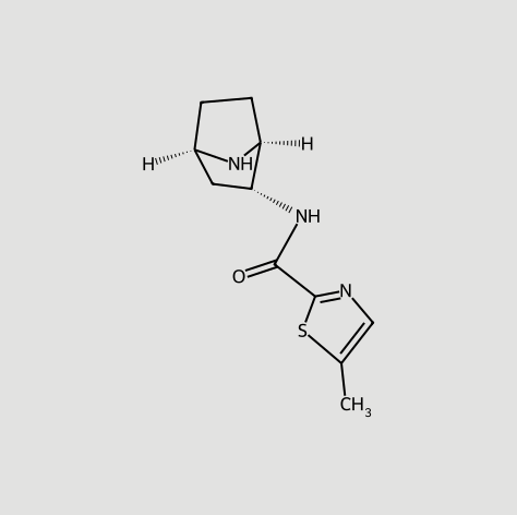 Cc1cnc(C(=O)N[C@@H]2C[C@H]3CC[C@@H]2N3)s1